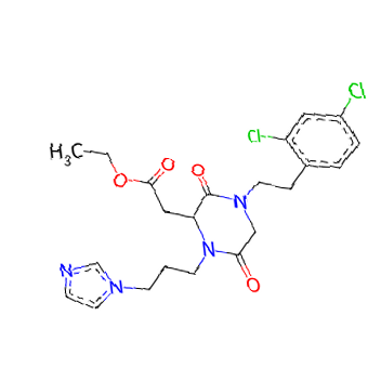 CCOC(=O)CC1C(=O)N(CCc2ccc(Cl)cc2Cl)CC(=O)N1CCCn1ccnc1